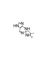 CCCC1(N)N=Cc2[nH]cnc2N1